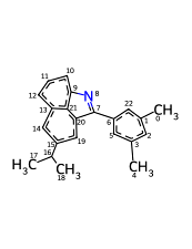 Cc1cc(C)cc(C2=Nc3cccc4cc(C(C)C)cc2c34)c1